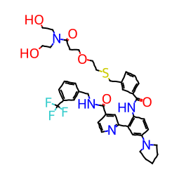 O=C(NCc1cccc(C(F)(F)F)c1)c1ccnc(-c2cc(N3CCCCC3)ccc2NC(=O)c2cccc(CSCCOCCC(=O)N(CCO)CCO)c2)c1